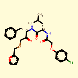 CC(C)C[C@H](NC(=O)COc1ccc(Cl)cc1)C(=O)N[C@@H](Cc1ccccc1)C(=O)CSCc1ccco1